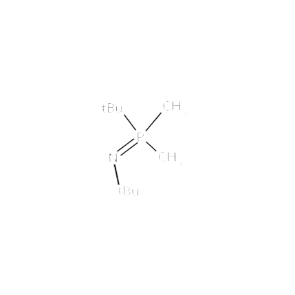 CC(C)(C)N=P(C)(C)C(C)(C)C